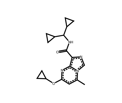 Cc1cc(OC2CC2)nc2c(C(=O)NC(C3CC3)C3CC3)ncn12